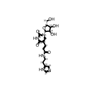 O=C(/C=C/c1cn([C@@H]2O[C@H](CO)C(O)C2O)c(=O)[nH]c1=O)NCCc1cnc[nH]1